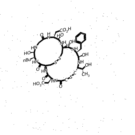 CCCC[C@@H]1NC(=O)[C@@H]2CSSC[C@H](N[C@H](O)[C@H](CC(=O)O)NC(=O)CN[C@@H]1O)[C@H](O)N[C@@H](Cc1ccccc1)[C@@H](O)N[C@H]([C@@H](C)O)CSCC(=O)N[C@@H](CC(=O)O)C(=O)N2